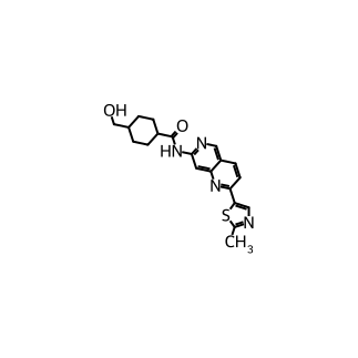 Cc1ncc(-c2ccc3cnc(NC(=O)C4CCC(CO)CC4)cc3n2)s1